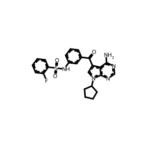 Nc1ncnc2c1c(C(=O)c1cccc(NS(=O)(=O)c3ccccc3F)c1)cn2C1CCCC1